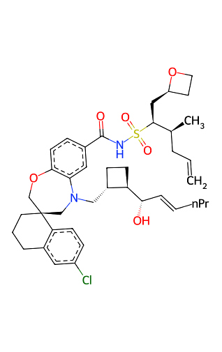 C=CC[C@H](C)[C@H](C[C@@H]1CCO1)S(=O)(=O)NC(=O)c1ccc2c(c1)N(C[C@@H]1CC[C@H]1[C@@H](O)/C=C/CCC)C[C@@]1(CCCc3cc(Cl)ccc31)CO2